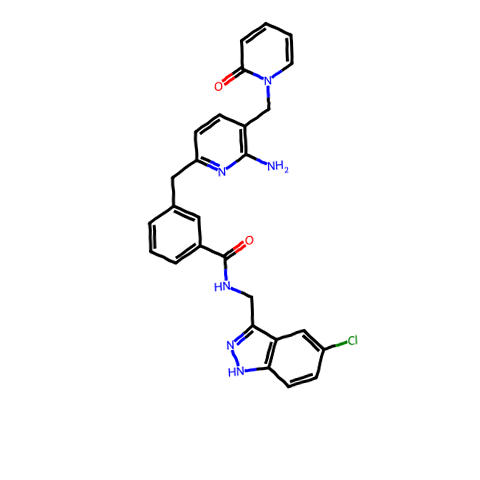 Nc1nc(Cc2cccc(C(=O)NCc3n[nH]c4ccc(Cl)cc34)c2)ccc1Cn1ccccc1=O